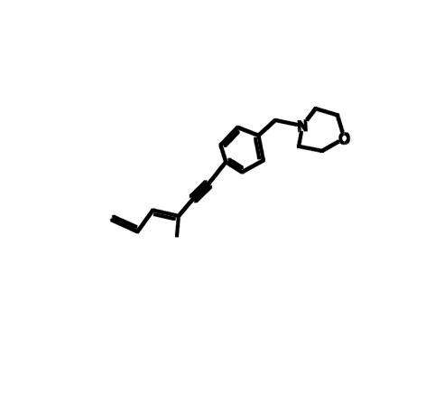 C=C/C=C(\C)C#Cc1ccc(CN2CCOCC2)cc1